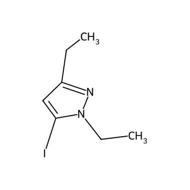 CCc1cc(I)n(CC)n1